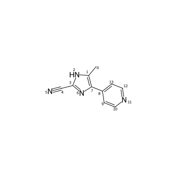 Cc1[nH]c(C#N)nc1-c1ccncc1